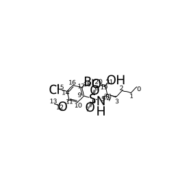 CCCC[C@@H](NS(=O)(=O)c1cc(OC)c(Cl)cc1Br)C(=O)O